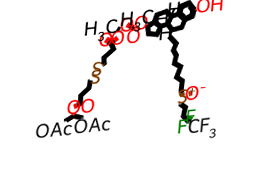 CC(=O)OCC(COC(C)=O)OC(=O)CCCSSCCCC(=O)OC(C)OC(=O)O[C@H]1CC[C@H]2[C@@H]3[C@H](CCCCCCCCC[S+]([O-])CCCC(F)(F)C(F)(F)F)Cc4cc(O)ccc4[C@H]3CC[C@]12C